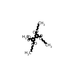 C=CCCCCOC(=O)c1cc(C(=O)OC)cc(-c2cc(C(=O)OCCCCC=C)cc(C(=O)OCCCCC=C)c2)c1